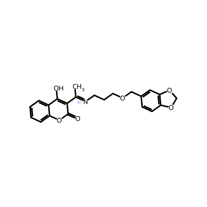 C/C(=N\CCCOCc1ccc2c(c1)OCO2)c1c(O)c2ccccc2oc1=O